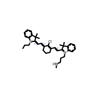 CCCN1/C(=C/C=C2\CCCC(/C=C/C3=[N+](CCCNC)c4ccccc4C3(C)C)=C2Cl)C(C)(C)c2ccccc21